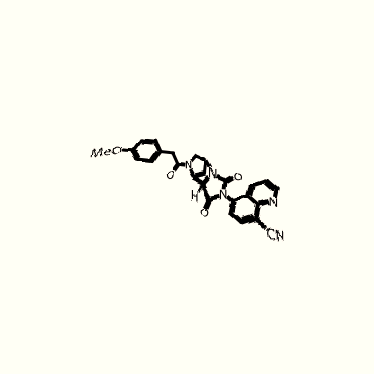 COc1ccc(CC(=O)N2CC3CC2[C@H]2C(=O)N(c4ccc(C#N)c5ncccc45)C(=O)N32)cc1